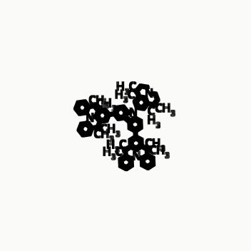 CC1(C)CCN2CCC(C)(C)c3cc(-n4c5ccc(-c6cc7c8c(c6)C(C)(C)c6ccccc6N8c6ccccc6C7(C)C)cc5c5cc(-c6cc7c8c(c6)C(C)(C)c6ccccc6N8c6ccccc6C7(C)C)ccc54)cc1c32